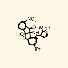 COc1sccc1C(=O)NC12C(=O)c3c([N+](=O)[O-])cccc3C1(O)Oc1cc(C(C)C)ccc12